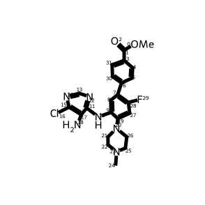 COC(=O)c1ccc(-c2cc(Nc3ncnc(Cl)c3N)c(N3CCN(C)CC3)cc2F)cc1